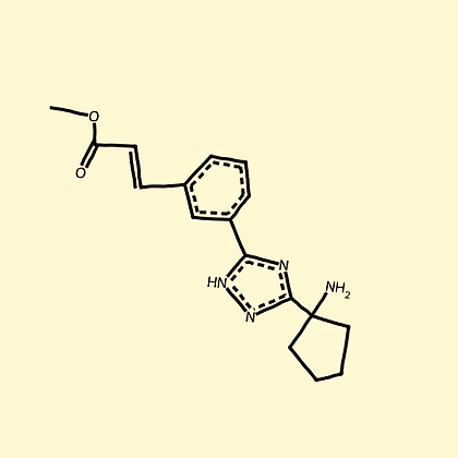 COC(=O)/C=C/c1cccc(-c2nc(C3(N)CCCC3)n[nH]2)c1